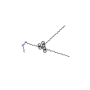 CCCCC/C=C\C/C=C\CCCCCCCCCC(=O)OC(COC(=O)CCCCCCCCCCCCCCCCCCC)COC(=O)CCCCCCCCCCCCCCCCCCCCC